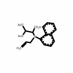 C=CCN(c1cccc2ccccc12)C(C(=O)O)C(OC(C)=O)OC(C)=O